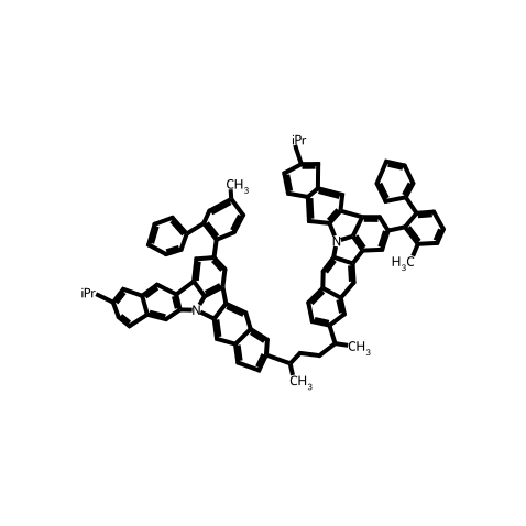 Cc1ccc(-c2cc3c4cc5cc(C(C)C)ccc5cc4n4c5cc6ccc(C(C)CCC(C)c7ccc8cc9c(cc8c7)c7cc(-c8c(C)cccc8-c8ccccc8)cc8c%10cc%11cc(C(C)C)ccc%11cc%10n9c87)cc6cc5c(c2)c34)c(-c2ccccc2)c1